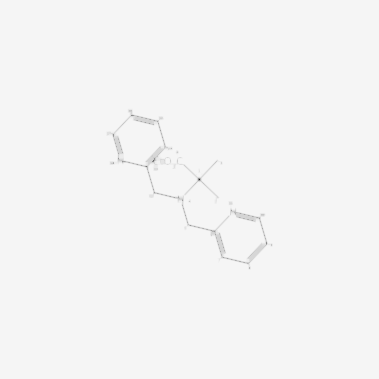 CCOC(=O)C(C)(C)N(Cc1ccccn1)Cc1ccccn1